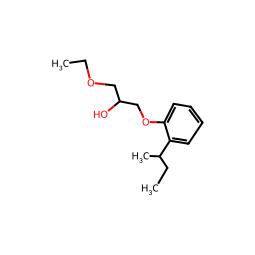 CCOCC(O)COc1ccccc1C(C)CC